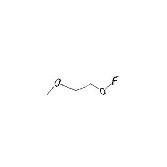 COCCOF